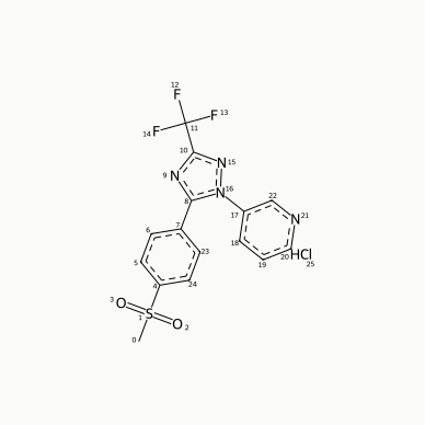 CS(=O)(=O)c1ccc(-c2nc(C(F)(F)F)nn2-c2cccnc2)cc1.Cl